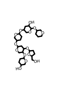 OCC1CCC(OC2CC(OC3CCC(OC4COC(OC5CCCOC5)C(O)C4)OC3)OCC2OC2CCC(O)CO2)O1